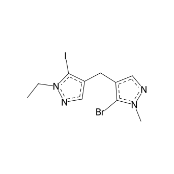 CCn1ncc(Cc2cnn(C)c2Br)c1I